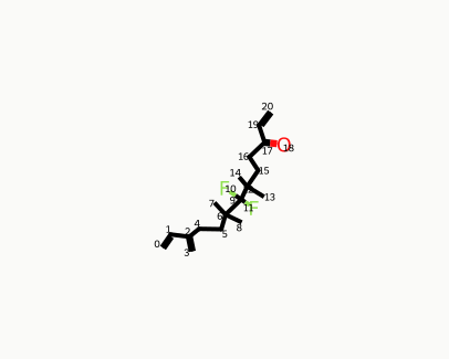 C=CC(=C)CCC(C)(C)C(F)(F)C(C)(C)CCC(=O)C=C